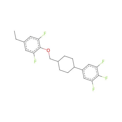 CCc1cc(F)c(OCC2CCC(c3cc(F)c(F)c(F)c3)CC2)c(F)c1